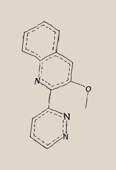 COc1cc2ccccc2nc1-c1cccnn1